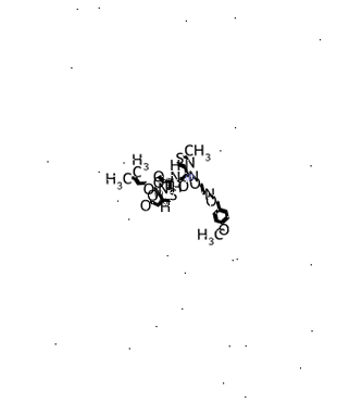 COc1ccc(CON=CCO/N=C(\C(=O)N[C@@H]2C(=O)N3[C@@H]2SC[C@@H]2CC(=O)O[C@@]23C(=O)OCC=C(C)C)c2csc(C)n2)cc1